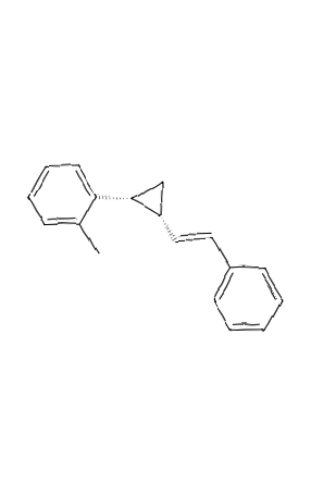 Cc1ccccc1[C@@H]1C[C@@H]1/C=C/c1ccccc1